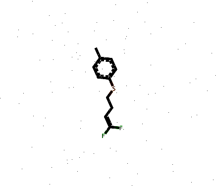 Cc1ccc(SCCC=C(F)F)cc1